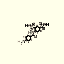 Nc1ccc(C(=O)Nc2ccc(S(=O)(=O)O)cc2S(=O)(=O)O)cc1